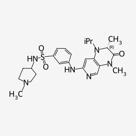 CC(C)N1c2cc(Nc3cccc(S(=O)(=O)NC4CCN(C)CC4)c3)ncc2N(C)C(=O)[C@H]1C